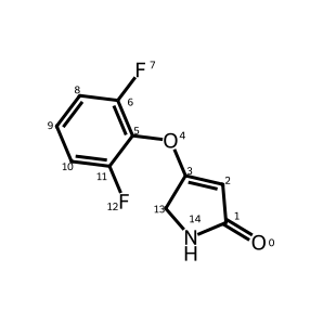 O=C1C=C(Oc2c(F)cccc2F)CN1